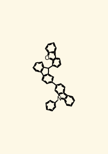 c1ccc(-n2c3ccccc3c3ccc(-c4ccc5c(c4)C(c4cccc6c4oc4ccccc46)c4ccccc4-5)cc32)cc1